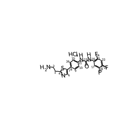 Cl.NCCc1ncc(-c2ccc(NC(=O)Nc3cc(F)c(F)cc3F)cc2)s1